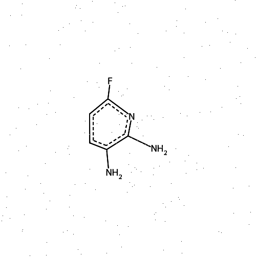 Nc1ccc(F)nc1N